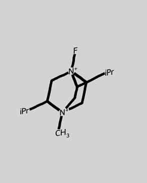 CC(C)C1C[N+]2(F)CC[N+]1(C)CC2C(C)C